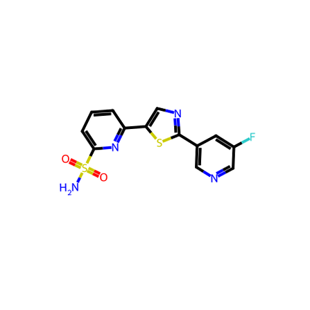 NS(=O)(=O)c1cccc(-c2cnc(-c3cncc(F)c3)s2)n1